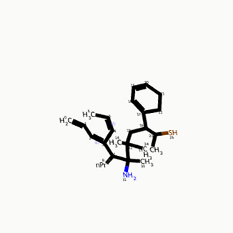 C=C/C=C(\C=C/C)C(CCC)C(C)(N)C(C)(C)CC(C1=CC=CCC1)C(C)S